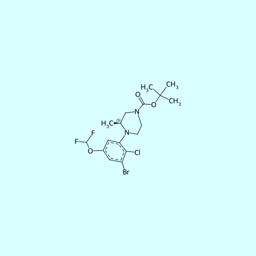 C[C@H]1CN(C(=O)OC(C)(C)C)CCN1c1cc(OC(F)F)cc(Br)c1Cl